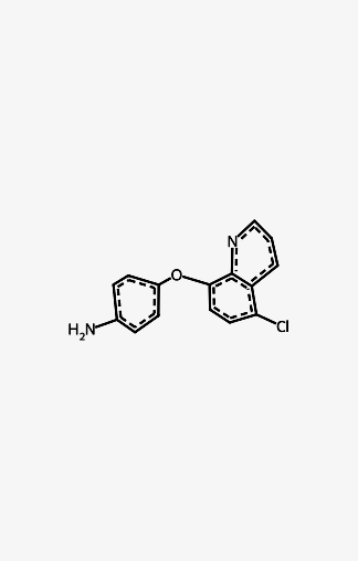 Nc1ccc(Oc2ccc(Cl)c3cccnc23)cc1